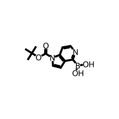 CC(C)(C)OC(=O)n1ccc2c(B(O)O)nccc21